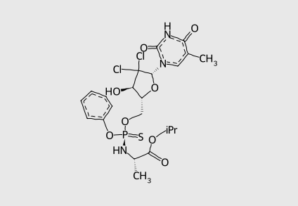 Cc1cn([C@@H]2O[C@H](CO[P@@](=S)(N[C@@H](C)C(=O)OC(C)C)Oc3ccccc3)[C@@H](O)C2(Cl)Cl)c(=O)[nH]c1=O